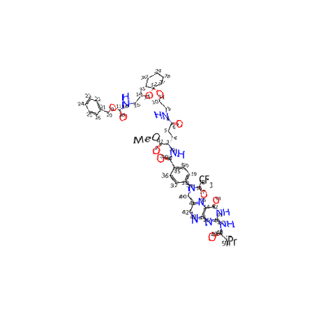 COC(=O)[C@H](CCC(=O)NCCOC1(OCCNC(=O)OCc2ccccc2)CCCCC1)NC(=O)c1ccc(N(Cc2cnc3nc(NC(=O)C(C)C)[nH]c(=O)c3n2)C(=O)C(F)(F)F)cc1